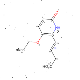 CCCCCCCCCCOc1ccc(=O)[nH]c1/C=C/CC(=O)O